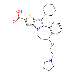 O=C(O)c1cc2c(s1)c(C1CCCCC1)c1n2CCC(OCCN2CCCC2)c2ccccc2-1